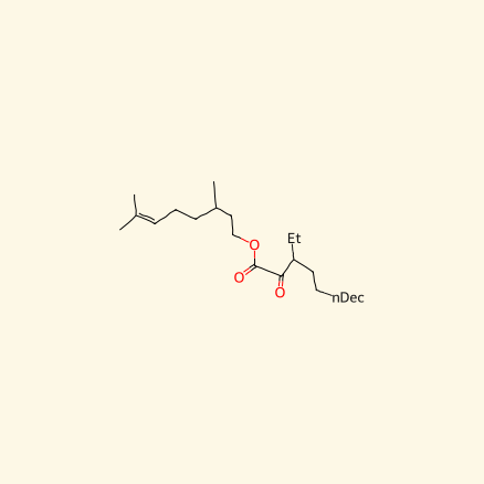 CCCCCCCCCCCCC(CC)C(=O)C(=O)OCCC(C)CCC=C(C)C